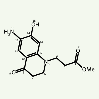 COC(=O)CCN1CCC(=O)c2cc(N)c(O)cc21